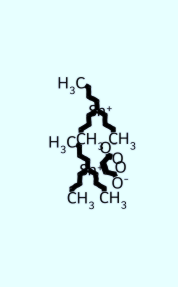 CCC[CH2][Sn+]([CH2]CCC)[CH2]CCC.CCC[CH2][Sn+]([CH2]CCC)[CH2]CCC.O=C([O-])/C=C\C(=O)[O-]